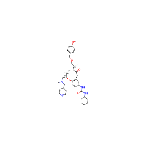 COc1ccc(COC[C@H](C)C2C[C@@H](C)[C@H](CN(C)Cc3ccncc3)Oc3ccc(NC(=O)NC4CCCCC4)cc3CC2=O)cc1